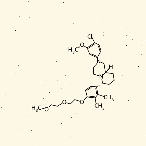 COCCOCCOc1ccc([C@H]2CCC[C@H]3CN(c4ccc(Cl)c(OC)c4)CCN32)c(C)c1C